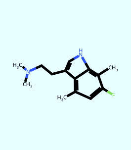 Cc1c(F)cc(C)c2c(CCN(C)C)c[nH]c12